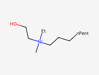 CCCCCCCC[N+](C)(CC)CCO